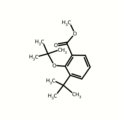 COC(=O)c1cccc(C(C)(C)C)c1OC(C)(C)C